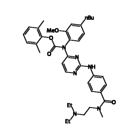 CCCCc1ccc(N(C(=O)Oc2c(C)cccc2C)c2ccnc(Nc3ccc(C(=O)N(C)CCN(CC)CC)cc3)n2)c(OC)c1